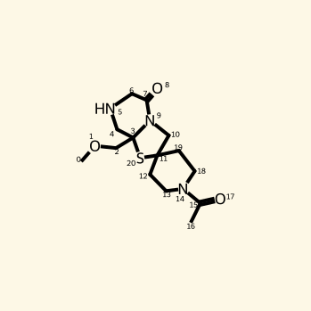 COCC12CNCC(=O)N1CC1(CCN(C(C)=O)CC1)S2